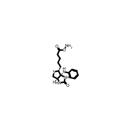 NOC(=O)CCCC[C@@H]1SC[C@@H]2NC(=O)N[C@@]21Nc1ccccc1